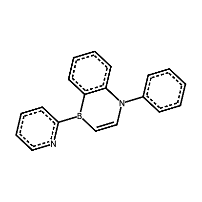 C1=CN(c2ccccc2)c2ccccc2B1c1ccccn1